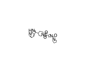 O=C(N1CCCC1)N1CC(S(=O)(=O)N2CCC(c3c[nH]c4ncccc34)CC2)C1